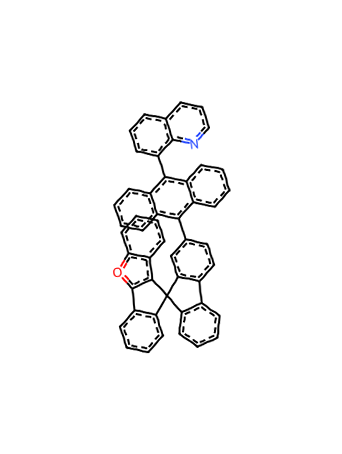 c1ccc2c(c1)-c1ccc(-c3c4ccccc4c(-c4cccc5cccnc45)c4ccccc34)cc1C21c2ccccc2-c2oc3ccccc3c21